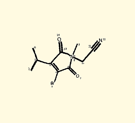 CC(C)C1=C(Br)C(=O)[N+](C)(CC#N)C1=O